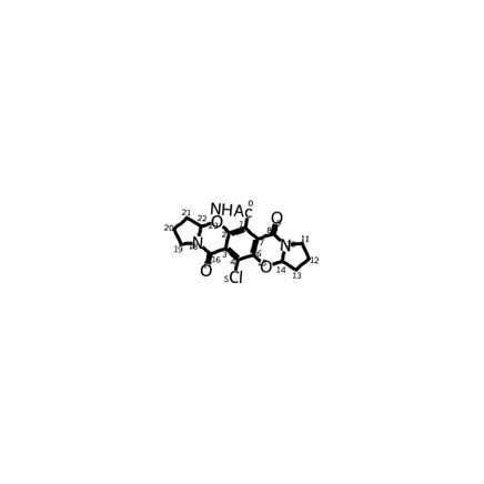 CC(=O)Nc1c2c(c(Cl)c3c1C(=O)N1CCCC1O3)C(=O)N1CCCC1O2